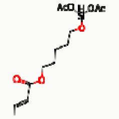 CC=CC(=O)OCCCCCO[SiH](OC(C)=O)OC(C)=O